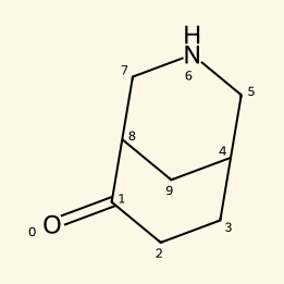 O=C1CCC2CNCC1C2